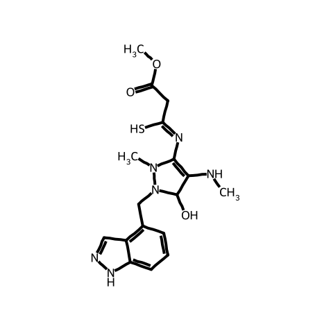 CNC1=C(/N=C(\S)CC(=O)OC)N(C)N(Cc2cccc3[nH]ncc23)C1O